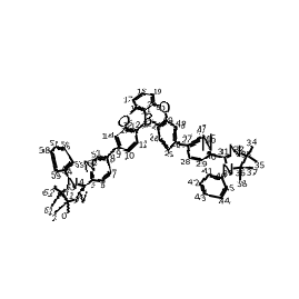 CC1(C)N=C(c2ccc(-c3ccc4c(c3)Oc3cccc5c3B4c3ccc(-c4ccc(C6=NC(C)(C)C(C)(C)N6c6ccccc6)nc4)cc3O5)cn2)N(c2ccccc2)C1(C)C